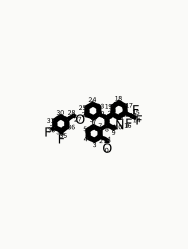 O=Cc1ccccc1-c1cnc2c(C(F)(F)F)cccc2c1-c1cccc(OCc2ccc(F)c(F)c2)c1